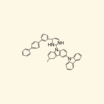 CC1C=Cc2c(c3cc(-n4c5ccccc5c5ccccc54)ccc3n2C2NC=CC(c3cccc(-c4ccc(-c5ccccc5)cc4)c3)N2)C1